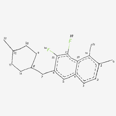 Cc1ccc2cc(CC3CCC(C)CC3)c(F)c(F)c2c1C